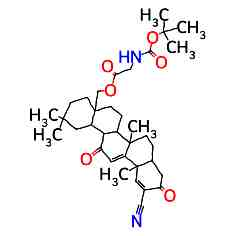 CC1(C)CCC2(COC(=O)CNC(=O)OC(C)(C)C)CCC3C(C(=O)C=C4C5(C)C=C(C#N)C(=O)CC5CCC43C)C2C1